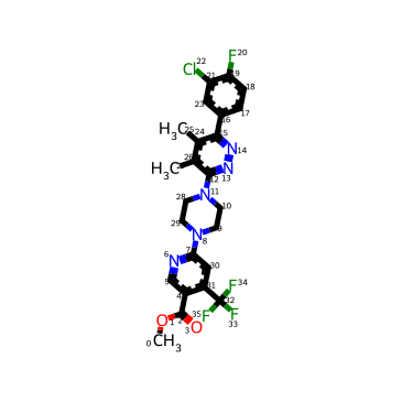 COC(=O)c1cnc(N2CCN(c3nnc(-c4ccc(F)c(Cl)c4)c(C)c3C)CC2)cc1C(F)(F)F